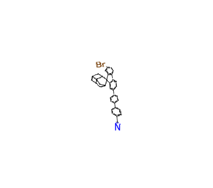 N#Cc1ccc(-c2ccc(-c3ccc4c(c3)C3(c5cc(Br)ccc5-4)C4CC5CC(C4)CC3C5)cc2)cc1